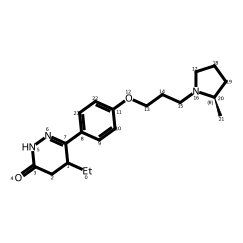 CCC1CC(=O)NN=C1c1ccc(OCCCN2CCC[C@H]2C)cc1